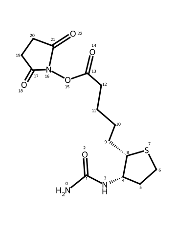 NC(=O)N[C@H]1CCS[C@H]1CCCCC(=O)ON1C(=O)CCC1=O